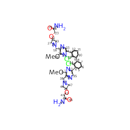 COc1nc(-c2cccc(-c3cccc(-c4cnc(CN5CC(OCC(N)=O)C5)c(OC)n4)c3Cl)c2Cl)cnc1CN1CC(OCC(N)=O)C1